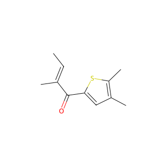 CC=C(C)C(=O)c1cc(C)c(C)s1